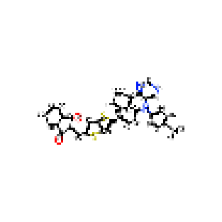 CC(C)c1ccc(N2c3cncnc3-c3cccc4c(-c5cc6sc(C=C7C(=O)c8ccccc8C7=O)cc6s5)ccc2c34)cc1